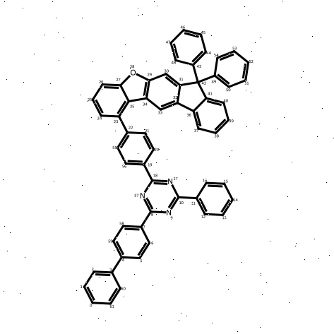 c1ccc(-c2ccc(-c3nc(-c4ccccc4)nc(-c4ccc(-c5cccc6oc7cc8c(cc7c56)-c5ccccc5C8(c5ccccc5)c5ccccc5)cc4)n3)cc2)cc1